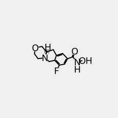 O=C(NO)c1cc(F)c2c(c1)C[C@H]1COCCN1C2